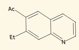 CCc1cc2ncccc2cc1C(C)=O